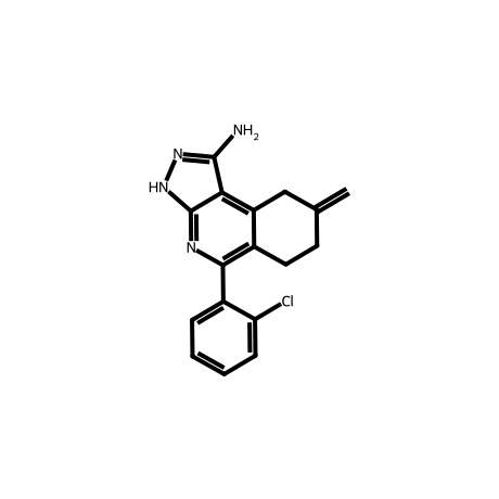 C=C1CCc2c(-c3ccccc3Cl)nc3[nH]nc(N)c3c2C1